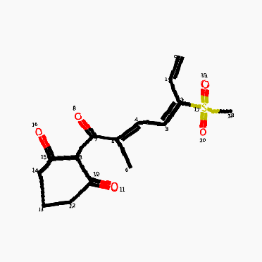 C=C/C(=C\C=C(/C)C(=O)C1C(=O)CCCC1=O)S(C)(=O)=O